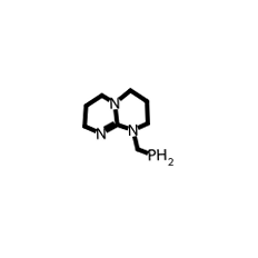 PCN1CCCN2CCCN=C12